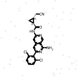 N#CC[C@H]1C[C@@H]1C(=O)Nc1cc2cc(-c3c(Cl)cccc3Cl)nc(N)c2cn1